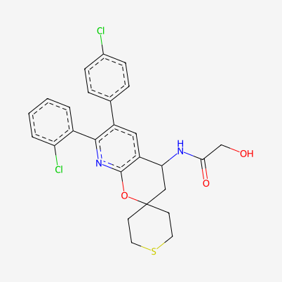 O=C(CO)NC1CC2(CCSCC2)Oc2nc(-c3ccccc3Cl)c(-c3ccc(Cl)cc3)cc21